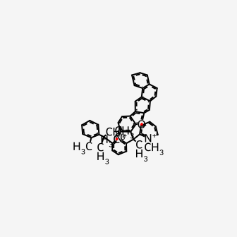 Cc1ccccc1C(C)(C)c1cccc(C(C)(c2c(C)ccc3c2oc2cc4ccc5ccccc5c4cc23)c2cccc[n+]2C)[n+]1C